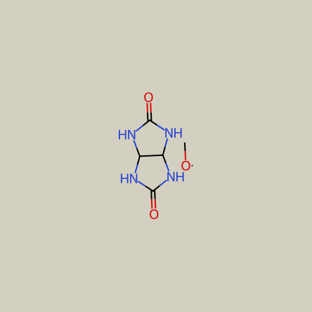 C[O].O=C1NC2NC(=O)NC2N1